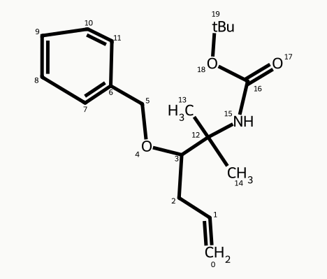 C=CCC(OCc1ccccc1)C(C)(C)NC(=O)OC(C)(C)C